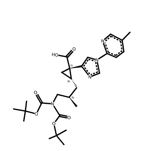 Cc1ccc(-n2cnc([C@]3(C(=O)O)C[C@H]3C[C@@H](C)CN(C(=O)OC(C)(C)C)C(=O)OC(C)(C)C)c2)nc1